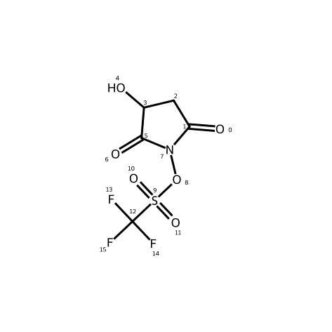 O=C1CC(O)C(=O)N1OS(=O)(=O)C(F)(F)F